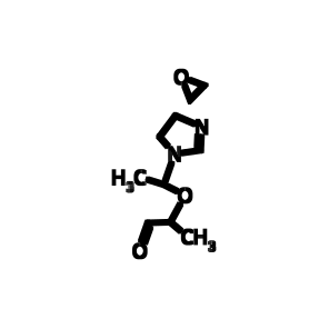 C1CO1.CC(C=O)OC(C)N1C=NCC1